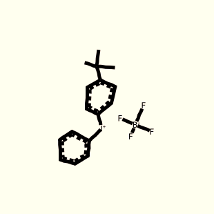 CC(C)(C)c1ccc([I+]c2ccccc2)cc1.F[B-](F)(F)F